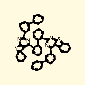 c1ccc(-c2cccc(-c3nc(-c4ccccc4-c4ccccc4-c4nc(-c5cccc(-c6ccccc6)c5)c5c(n4)sc4ccccc45)c4c(n3)sc3ccccc34)c2)cc1